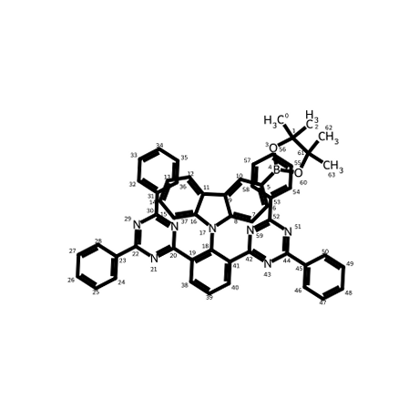 CC1(C)OB(c2ccc3c(c2)c2ccccc2n3-c2c(-c3nc(-c4ccccc4)nc(-c4ccccc4)n3)cccc2-c2nc(-c3ccccc3)nc(-c3ccccc3)n2)OC1(C)C